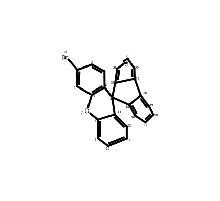 Brc1ccc2c(c1)Oc1ccccc1C21c2ccccc2-c2ccccc21